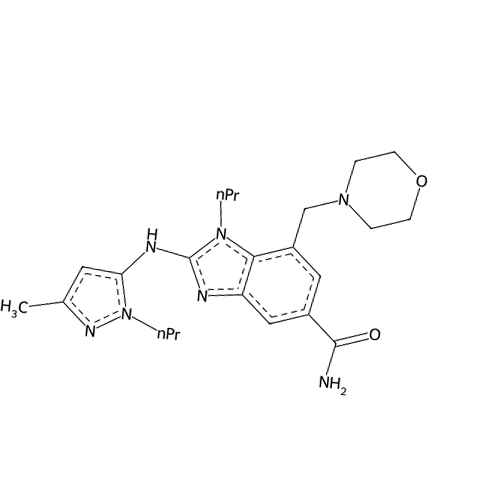 CCCn1nc(C)cc1Nc1nc2cc(C(N)=O)cc(CN3CCOCC3)c2n1CCC